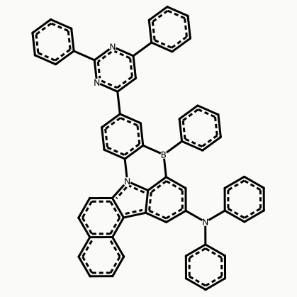 c1ccc(B2c3cc(-c4cc(-c5ccccc5)nc(-c5ccccc5)n4)ccc3-n3c4ccc5ccccc5c4c4cc(N(c5ccccc5)c5ccccc5)cc2c43)cc1